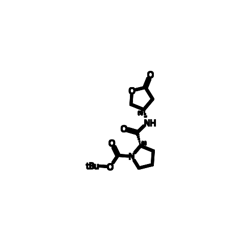 CC(C)(C)OC(=O)N1CCC[C@H]1C(=O)N[C@@H]1COC(=O)C1